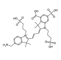 CC1(C)C(/C=C/C=C2/N(CCCS(=O)(=O)O)c3cc(S(=O)(=O)O)cc(C(=O)O)c3C2(C)C)=[N+](CCCS(=O)(=O)O)c2ccc(CN)cc21